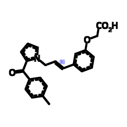 Cc1ccc(C(=O)c2cccn2C/C=C/c2cccc(OCC(=O)O)c2)cc1